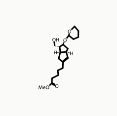 COC(=O)CCCCC1=C[C@@H]2C[C@H](OC3CCCCO3)[C@@H](CO)[C@@H]2C1